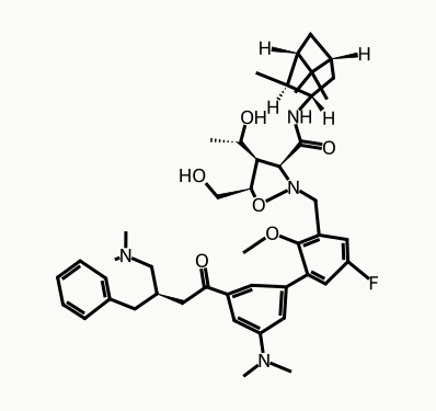 COc1c(CN2O[C@@H](CO)[C@@H]([C@H](C)O)[C@H]2C(=O)N[C@H]2C[C@H]3C[C@@H]([C@@H]2C)C3(C)C)cc(F)cc1-c1cc(C(=O)C[C@@H](Cc2ccccc2)CN(C)C)cc(N(C)C)c1